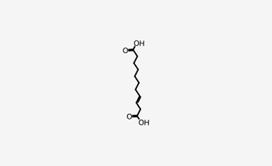 O=C(O)C/C=C/CCCCCCC(=O)O